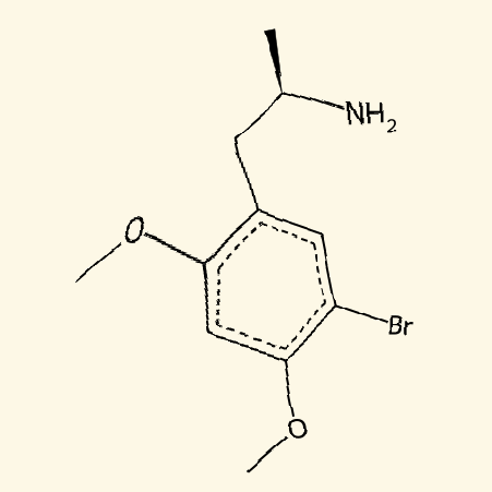 COc1cc(OC)c(C[C@@H](C)N)cc1Br